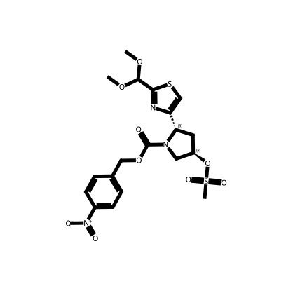 COC(OC)c1nc([C@@H]2C[C@@H](OS(C)(=O)=O)CN2C(=O)OCc2ccc([N+](=O)[O-])cc2)cs1